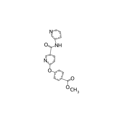 COC(=O)c1ccc(Oc2ccc(C(=O)Nc3cccnc3)cn2)cc1